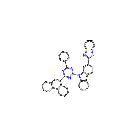 c1ccc(-c2nc(-c3cc4ccccc4c4ccccc34)nc(-n3c4ccccc4c4ccc(-c5cn6ccccc6n5)cc43)n2)cc1